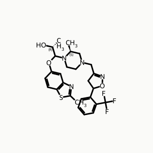 Cc1nc2cc(OC([C@@H](C)O)N3CCN(CC4=NOC(c5ccccc5C(F)(F)F)C4)C[C@@H]3C)ccc2s1